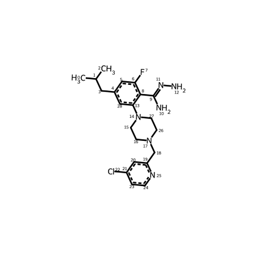 CC(C)Cc1cc(F)c(/C(N)=N/N)c(N2CCN(Cc3cc(Cl)ccn3)CC2)c1